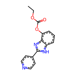 CCOC(=O)Oc1cccc2[nH]c(-c3ccncc3)nc12